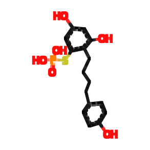 O=P(O)(O)Sc1cc(O)cc(O)c1CCCCc1ccc(O)cc1